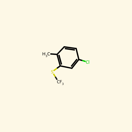 Cc1ccc(Cl)cc1SC(F)(F)F